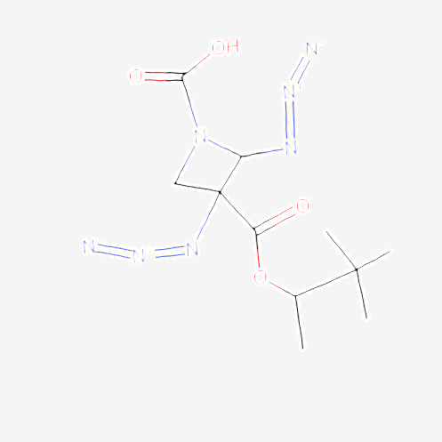 CC(OC(=O)C1(N=[N+]=[N-])CN(C(=O)O)C1N=[N+]=[N-])C(C)(C)C